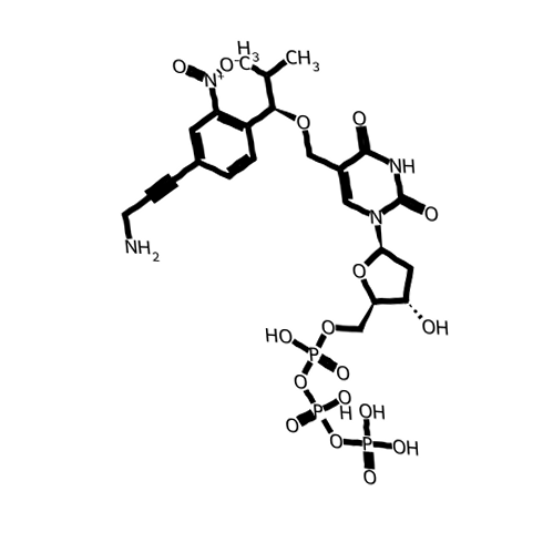 CC(C)[C@@H](OCc1cn([C@H]2C[C@H](O)[C@@H](COP(=O)(O)OP(=O)(O)OP(=O)(O)O)O2)c(=O)[nH]c1=O)c1ccc(C#CCN)cc1[N+](=O)[O-]